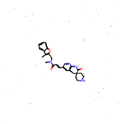 Cc1c(CN(C)C(=O)/C=C/c2cnc3c(c2)CC2(CCNCC2)C(=O)N3)oc2ccccc12